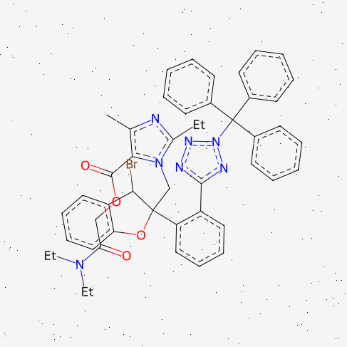 CCc1nc(C)c(C(=O)OCC(=O)N(CC)CC)n1CC1(c2ccccc2-c2nnn(C(c3ccccc3)(c3ccccc3)c3ccccc3)n2)Oc2ccccc2C1Br